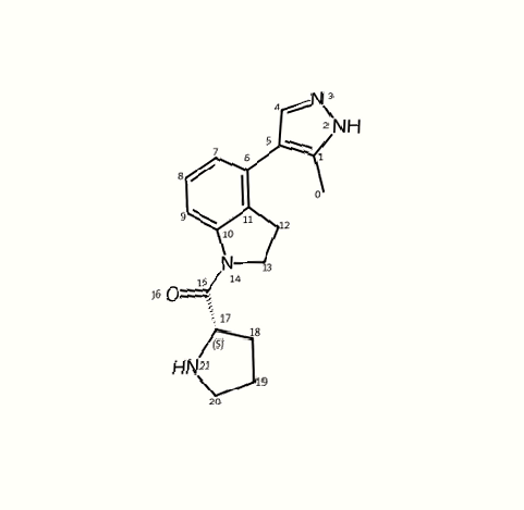 Cc1[nH]ncc1-c1cccc2c1CCN2C(=O)[C@@H]1CCCN1